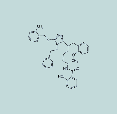 COc1ccccc1CC(CCCCNC(=O)c1ccccc1O)c1nnc(SCc2ccccc2C)n1CCc1ccccc1